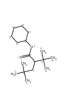 CC(C)(C)CC(C(=O)OC1CCCCC1)C(C)(C)C